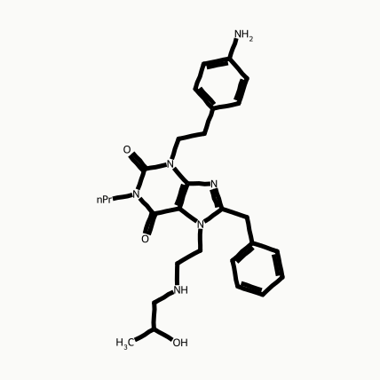 CCCn1c(=O)c2c(nc(Cc3ccccc3)n2CCNCC(C)O)n(CCc2ccc(N)cc2)c1=O